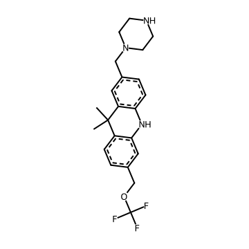 CC1(C)c2ccc(COC(F)(F)F)cc2Nc2ccc(CN3CCNCC3)cc21